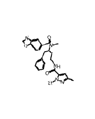 CCn1nc(C)cc1C(=O)NCCC(Cc1ccccc1)N(C)C(=O)c1ccc2ocnc2c1